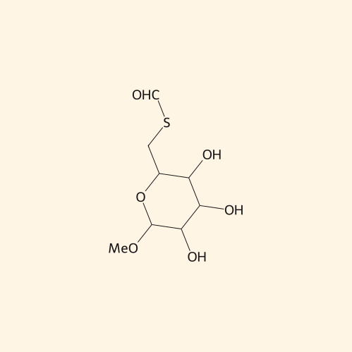 COC1OC(CSC=O)C(O)C(O)C1O